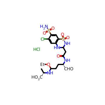 CCOC(CC[C@@H](C=O)NC(=O)CC1Nc2cc(Cl)c(S(N)(=O)=O)cc2S(=O)(=O)N1)N[C@@H](C)C(=O)O.Cl